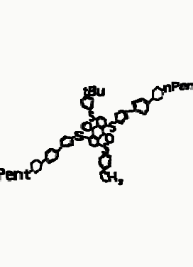 CCCCCC1CCC(c2ccc(-c3ccc(Sc4ccc(Sc5ccc(C)cc5)c5c4C(=O)c4c(Sc6ccc(C(C)(C)C)cc6)ccc(Sc6ccc(-c7ccc(C8CCC(CCCCC)CC8)cc7)cc6)c4C5=O)cc3)cc2)CC1